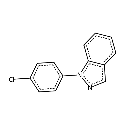 Clc1ccc(-n2ncc3ccccc32)cc1